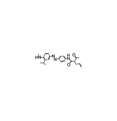 C=CCC(C(C)=O)C(=O)Nc1ccc(N=Nc2ccc(NC)c(C(C)C)c2)cc1